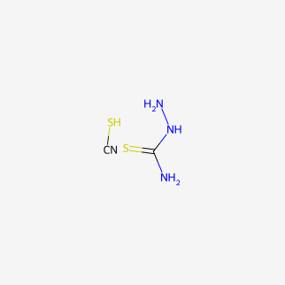 N#CS.NNC(N)=S